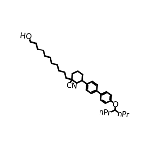 CCCC(CCC)Oc1ccc(-c2ccc(C3CCCC(C#N)(CCCCCCCCCCCO)C3)cc2)cc1